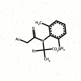 CCC(C)(C(=O)O)N(C(=O)CC(C)=O)c1c(C)cccc1C